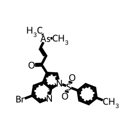 Cc1ccc(S(=O)(=O)n2cc(C(=O)C=C[As](C)C)c3cc(Br)cnc32)cc1